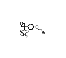 COC(=O)C1(c2ccc(OCCBr)cc2)COC1